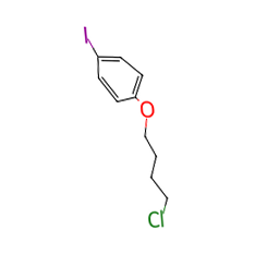 ClCCCCOc1ccc(I)cc1